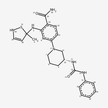 CC1(Nc2nc(N3CCC[C@@H](NC(=O)Nc4ccccc4)C3)cnc2C(N)=O)C=CNS1